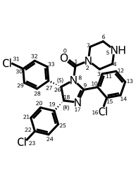 O=C(N1CCNCC1)N1C(c2ccccc2Cl)=N[C@H](c2ccc(Cl)cc2)[C@@H]1c1ccc(Cl)cc1